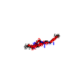 CNC(=O)CCNC(=O)CCc1ccc(NC(=O)COCC(=O)N(CC(=O)NCCN2C(=O)CC(SCCCC(=N)NCCOCCOCCOCCOCCC(=O)C3(C(C)=O)SS3)C2=O)CC(=O)NCCN2C(=O)CC(SCCC(=O)NCCOCCOCCOCCOC(=O)C(C(C)=O)(C(C)=O)C(C)=O)C2=O)cc1